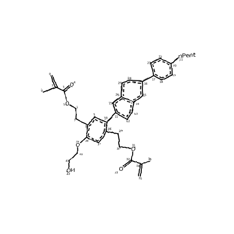 C=C(C)C(=O)OCCc1cc(-c2ccc3cc(-c4ccc(CCCCC)cc4)ccc3c2)c(CCOC(=O)C(=C)C)cc1OCCO